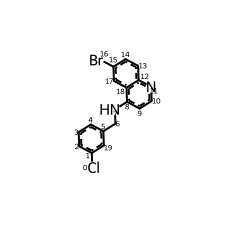 Clc1cccc(CNc2ccnc3ccc(Br)cc23)c1